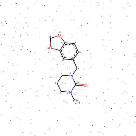 CN1CCCN(Cc2ccc3c(c2)OCO3)C1=O